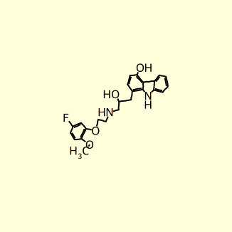 COc1ccc(F)cc1OCCNCC(O)Cc1ccc(O)c2c1[nH]c1ccccc12